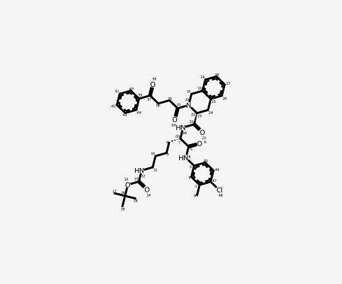 Cc1cc(NC(=O)[C@H](CCCCNC(=O)OC(C)(C)C)NC(=O)[C@@H]2Cc3ccccc3CN2C(=O)CCC(=O)c2ccccc2)ccc1Cl